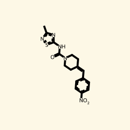 Cc1nsc(NC(=O)N2CCC(=Cc3ccc([N+](=O)[O-])cc3)CC2)n1